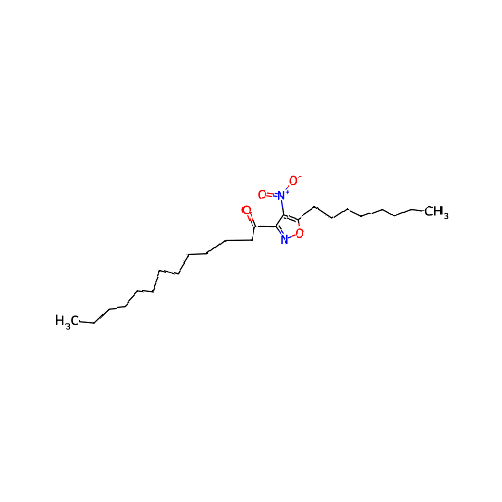 CCCCCCCCCCCCC(=O)c1noc(CCCCCCCC)c1[N+](=O)[O-]